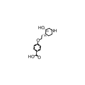 O=C(O)c1ccc(OCC[C@H]2CCNC[C@H]2O)cc1